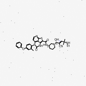 CCNC(C)(C)/C=C(\C#N)[C@@H](O)N1CCC[C@@H](NC(=O)c2sc3nccc4c3c2NC(=O)N4c2ccc(Oc3ccccc3)cc2C)C1